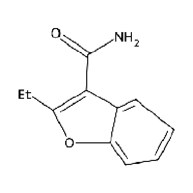 CCc1oc2ccccc2c1C(N)=O